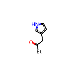 CCC(=O)Cc1cc[nH]c1